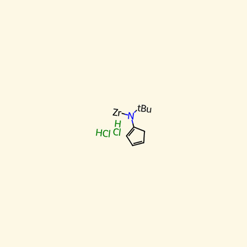 CC(C)(C)[N]([Zr])C1=CC=CC1.Cl.Cl